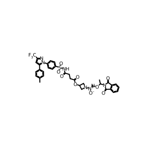 Cc1ccc(-c2cc(C(F)(F)F)nn2-c2ccc(S(=O)(=O)NC(=O)CCC(=O)OC3CN([N+]([O-])=NOC(C)N4C(=O)c5ccccc5C4=O)C3)cc2)cc1